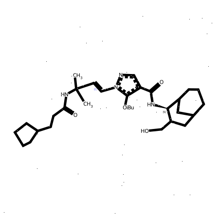 CC(C)COc1c(C(=O)N[C@@H]2C(CO)CC3CCCC2C3)cnn1/C=C/C(C)(C)NC(=O)CCC1CCCC1